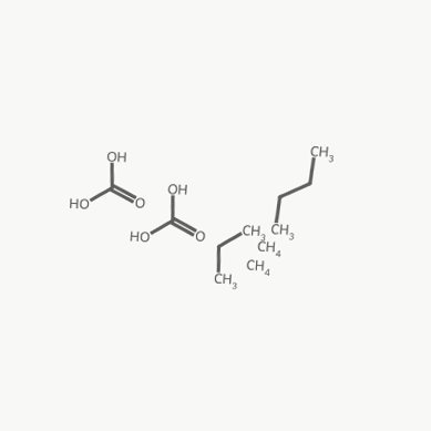 C.C.CCC.CCCC.O=C(O)O.O=C(O)O